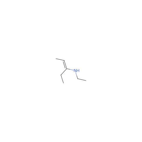 C/C=C(\CC)NCC